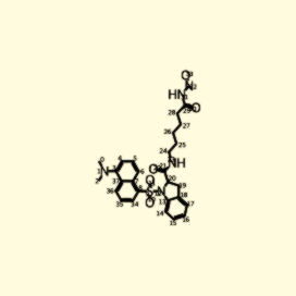 CN(C)c1cccc2c(S(=O)(=O)N3c4ccccc4CC3C(=O)NCCCCCC(=O)NN=O)cccc12